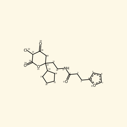 O=C(CCc1ccco1)NCCC1(C2CCCC2)CC(=O)C(Cl)C(=O)O1